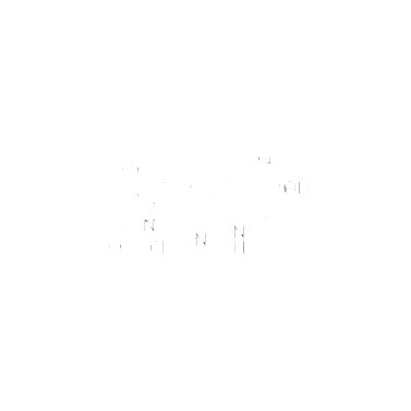 O=C1C[S+]([O-])C(F)(c2cc3c(nc2Cl)NC=C(C(=O)O)C3)N1